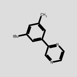 Cc1cc(-c2cnccn2)cc(C(C)(C)C)c1